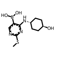 CSc1ncc(B(O)O)c(N[C@H]2CC[C@H](O)CC2)n1